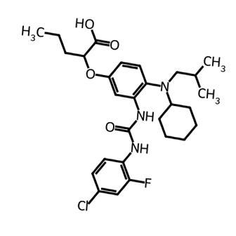 CCCC(Oc1ccc(N(CC(C)C)C2CCCCC2)c(NC(=O)Nc2ccc(Cl)cc2F)c1)C(=O)O